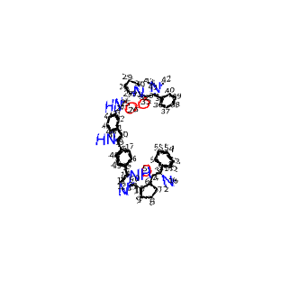 CN(C)[C@H](C(=O)C1CCC[C@H]1c1ncc(-c2ccc(-c3cc4cc(NC(=O)[C@@H]5CCCN5C(=O)[C@H](c5ccccc5)N(C)C)ccc4[nH]3)cc2)[nH]1)c1ccccc1